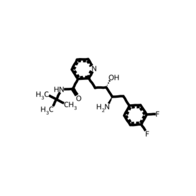 CC(C)(C)NC(=O)c1cccnc1C[C@H](O)[C@H](N)Cc1ccc(F)c(F)c1